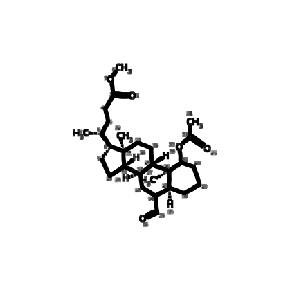 COC(=O)CC[C@@H](C)[C@H]1CC[C@H]2[C@@H]3CC(C=O)[C@@H]4CCCC(OC(C)=O)[C@]4(C)[C@H]3CC[C@]12C